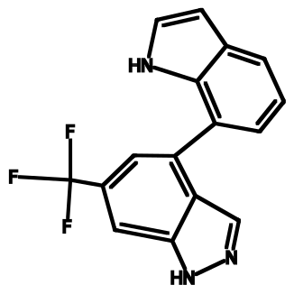 FC(F)(F)c1cc(-c2cccc3cc[nH]c23)c2cn[nH]c2c1